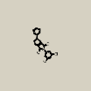 O=C1C2C3CC(c4ccccc4)C(C3)C2C(=O)N1c1cc(Cl)cc(Cl)c1